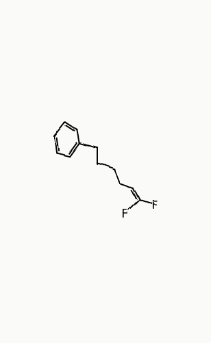 FC(F)=CCCCCc1ccccc1